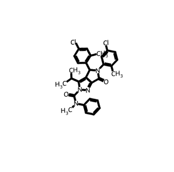 Cc1cc(Cl)ccc1C1c2c(nn(C(=O)N(C)c3ccccc3)c2C(C)C)C(=O)N1c1cc(Cl)ccc1C